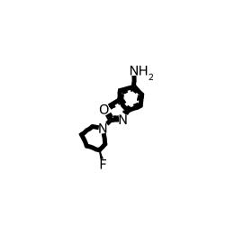 Nc1ccc2nc(N3CCC[C@H](F)C3)oc2c1